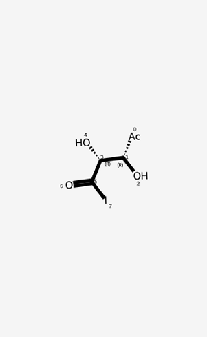 CC(=O)[C@H](O)[C@@H](O)C(=O)I